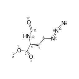 COC(=O)[C@H](CCN=[N+]=[N-])NC=O